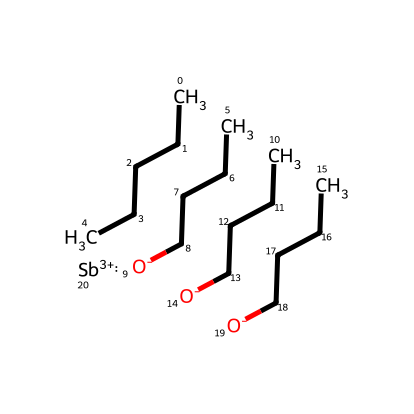 CCCCC.CCCC[O-].CCCC[O-].CCCC[O-].[Sb+3]